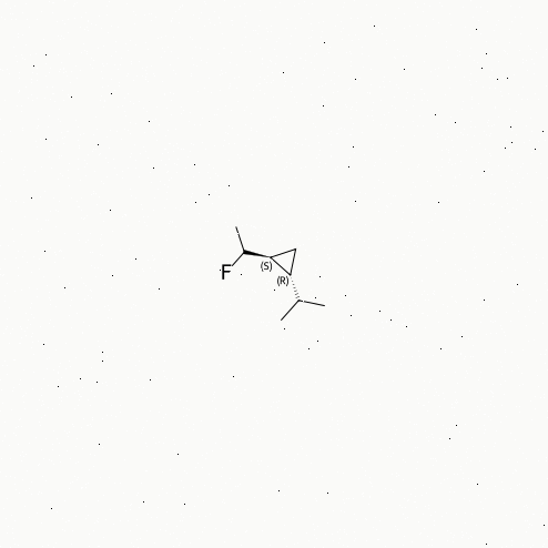 CC(C)[C@H]1C[C@@H]1C(C)F